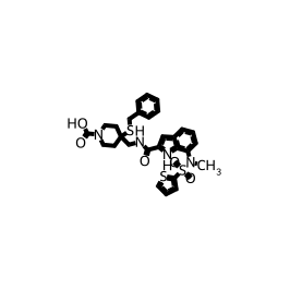 CN(c1cccc2cc(C(=O)NCC3(SCc4ccccc4)CCN(C(=O)O)CC3)[nH]c12)S(=O)(=O)c1cccs1